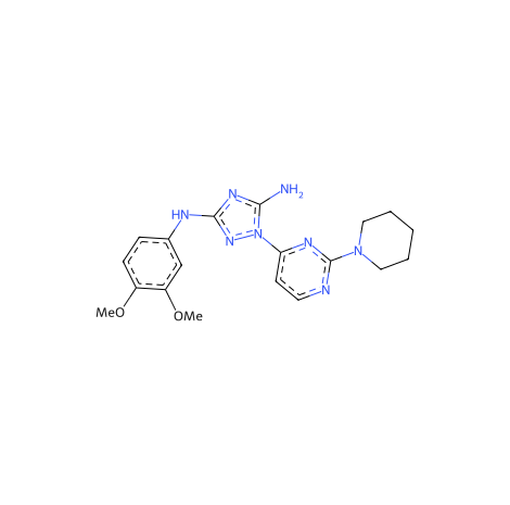 COc1ccc(Nc2nc(N)n(-c3ccnc(N4CCCCC4)n3)n2)cc1OC